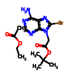 CC(C)(C)OC(=O)Cn1c(Br)nc2c(N)ncnc21.CCOC(C)=O